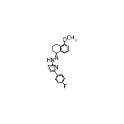 COc1cccc2c1CCCC2=NNc1nc(-c2ccc(F)cc2)cs1